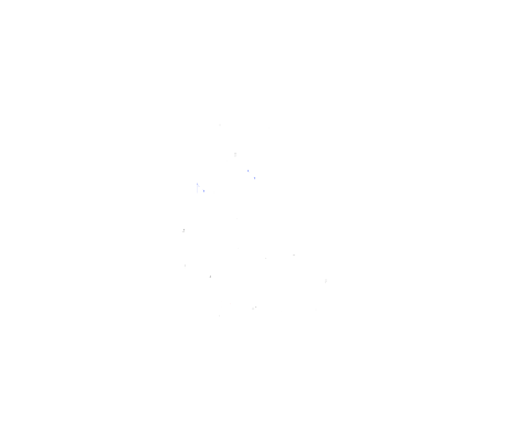 Cc1ccccc1NC(C)Nc1ccc2oc3ccccc3c2c1